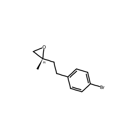 C[C@@]1(CCc2ccc(Br)cc2)CO1